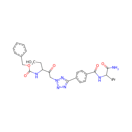 CC(C)C(NC(=O)c1ccc(-c2nnn(CC(=O)C(CC(=O)O)NC(=O)OCc3ccccc3)n2)cc1)C(N)=O